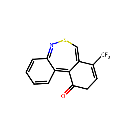 O=C1CC=C(C(F)(F)F)C2=CSN=c3ccccc3=C12